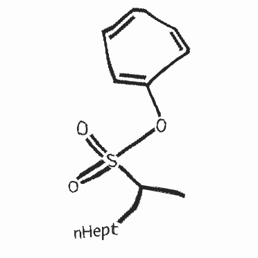 CCCCCCCC(C)S(=O)(=O)Oc1ccccc1